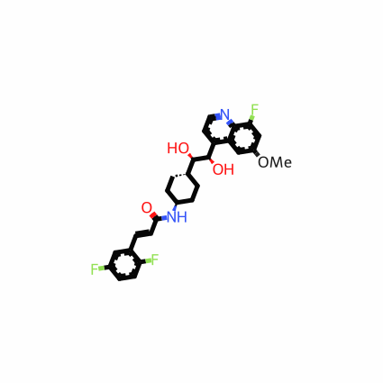 COc1cc(F)c2nccc([C@@H](O)[C@H](O)[C@H]3CC[C@H](NC(=O)C=Cc4cc(F)ccc4F)CC3)c2c1